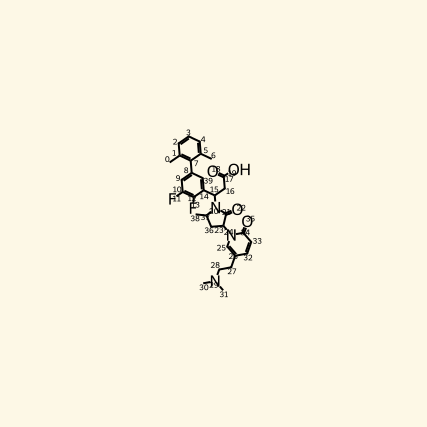 Cc1cccc(C)c1-c1cc(F)c(F)c(C(CC(=O)O)N2C(=O)C(n3cc(CCN(C)C)ccc3=O)CC2C)c1